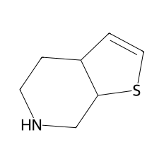 C1=CC2CCNCC2S1